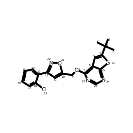 CC(C)(C)c1cc2c(OCc3cc(-c4ccccc4Cl)no3)ncnc2s1